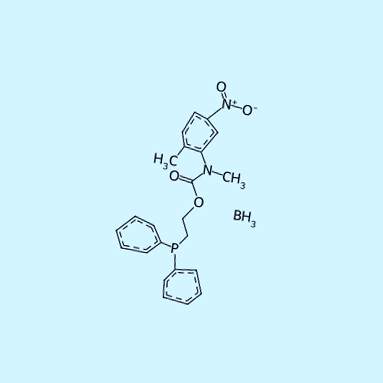 B.Cc1ccc([N+](=O)[O-])cc1N(C)C(=O)OCCP(c1ccccc1)c1ccccc1